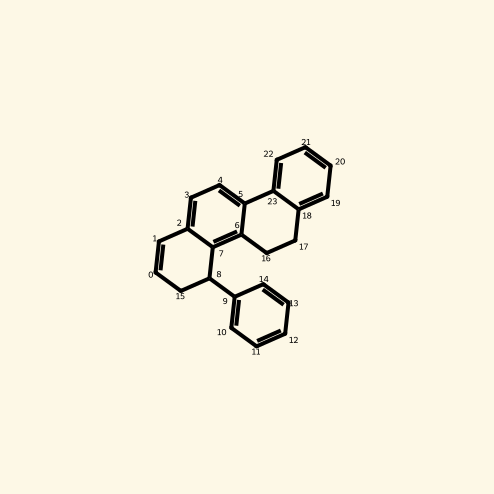 C1=Cc2ccc3c(c2C(c2ccccc2)C1)CCc1ccccc1-3